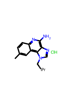 Cc1ccc2nc(N)c3ncn(CC(C)C)c3c2c1.Cl